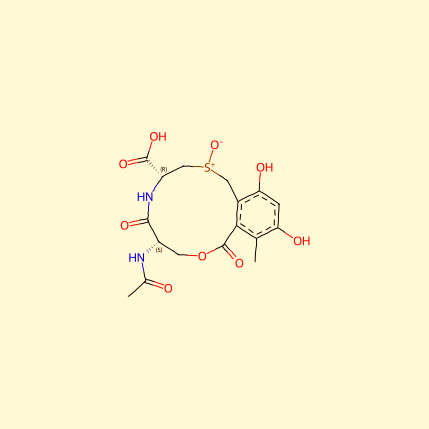 CC(=O)N[C@H]1COC(=O)c2c(C)c(O)cc(O)c2C[S+]([O-])C[C@@H](C(=O)O)NC1=O